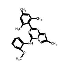 COc1ccccc1Nc1nc(-c2c(C)cc(C)cc2C)nc2nc(C)nn12